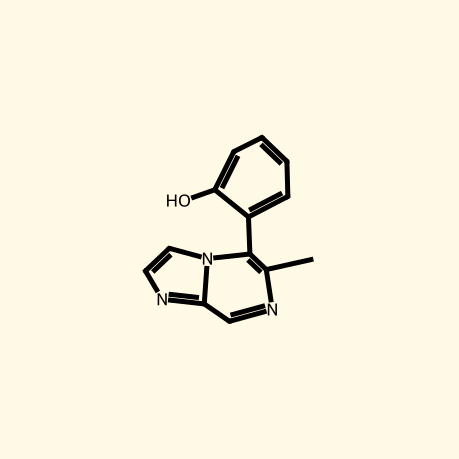 Cc1ncc2nccn2c1-c1ccccc1O